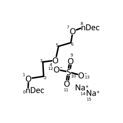 CCCCCCCCCCOCCOCCOCCCCCCCCCC.O=S(=O)([O-])[O-].[Na+].[Na+]